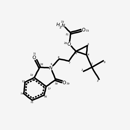 CC(C)(C)C1CC1(CCN1C(=O)c2ccccc2C1=O)OC(N)=O